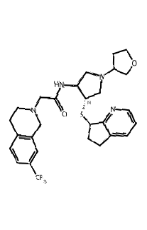 O=C(CN1CCc2ccc(C(F)(F)F)cc2C1)NC1CN(C2CCOC2)C[C@@H]1SC1CCc2cccnc21